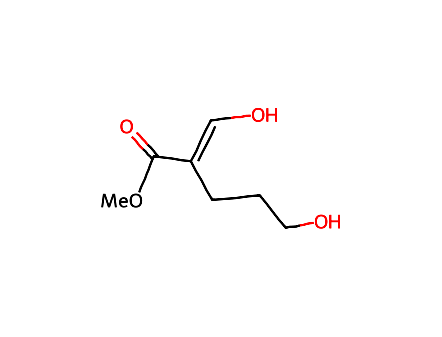 COC(=O)C(=CO)CCCO